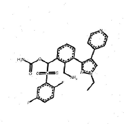 CCn1cc(-c2ccncc2)c(-c2cccc(C(OC(N)=O)S(=O)(=O)c3cc(F)ccc3F)c2CN)n1